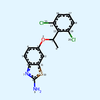 CC(Oc1ccc2nc(N)sc2c1)c1c(Cl)cccc1Cl